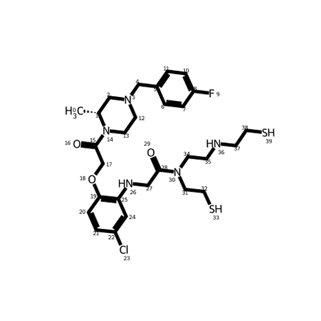 C[C@@H]1CN(Cc2ccc(F)cc2)CCN1C(=O)COc1ccc(Cl)cc1NCC(=O)N(CCS)CCNCCS